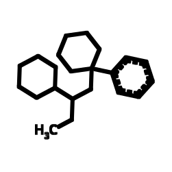 CCC(CC1(c2ccccc2)CCCCC1)C1CCCCC1